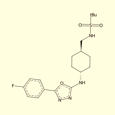 CC(C)(C)S(=O)(=O)NC[C@H]1CC[C@H](Nc2nnc(-c3ccc(F)cc3)o2)CC1